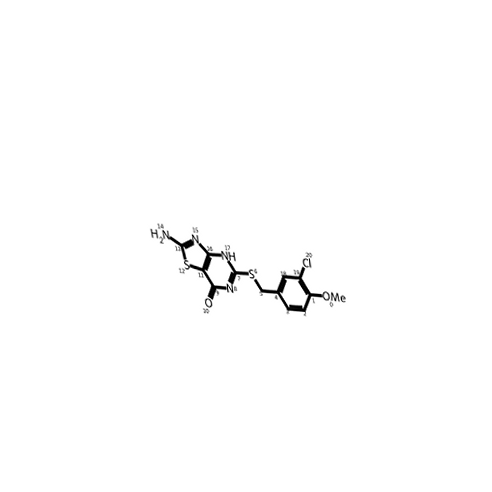 COc1ccc(CSc2nc(=O)c3sc(N)nc3[nH]2)cc1Cl